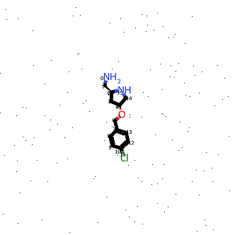 NC[C@@H]1C[C@@H](OCc2ccc(Cl)cc2)CN1